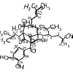 C=C(C)CCC(CC12CC(CC=C(C)C)C(C)(C)C(CC=C(C)C)(C(=O)C(C(=O)c3ccc(O)c(O)c3)=C1O)C2=O)C(=C)C